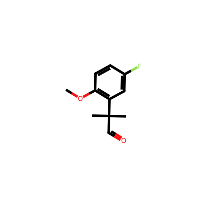 COc1ccc(F)cc1C(C)(C)C=O